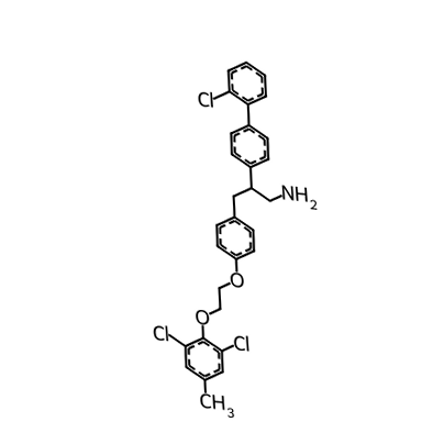 Cc1cc(Cl)c(OCCOc2ccc(CC(CN)c3ccc(-c4ccccc4Cl)cc3)cc2)c(Cl)c1